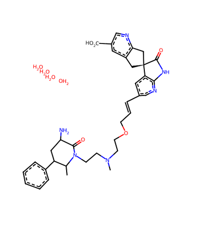 CC1C(c2ccccc2)CC(N)C(=O)N1CCN(C)CCOC/C=C/c1cnc2c(c1)[C@@]1(Cc3cc(C(=O)O)cnc3C1)C(=O)N2.O.O.O.O